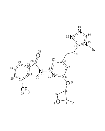 CC1OCC1Oc1cc(CCc2nncn2C)cc(N2Cc3c(cccc3C(F)(F)F)C2=O)n1